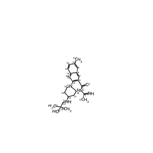 CC(=N)NC(=O)c1cc2cc(C)ccc2nc1N1CCC(NCC(C)(C)O)CC1